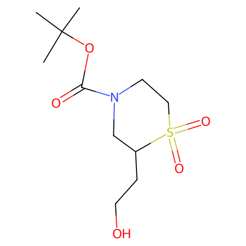 CC(C)(C)OC(=O)N1CCS(=O)(=O)C(CCO)C1